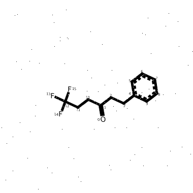 O=C(CCc1ccccc1)CCC(F)(F)F